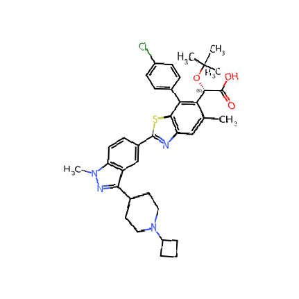 Cc1cc2nc(-c3ccc4c(c3)c(C3CCN(C5CCC5)CC3)nn4C)sc2c(-c2ccc(Cl)cc2)c1[C@H](OC(C)(C)C)C(=O)O